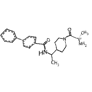 CC(NC(=O)c1ccc(-c2ccccc2)cc1)C1CCN(C(=O)[C@H](C)N)CC1